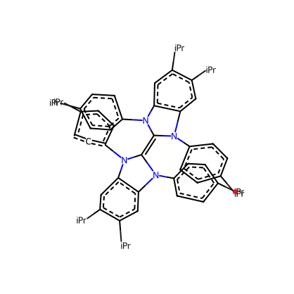 CC(C)c1ccc(N2C(=C3N(c4ccc(C(C)C)cc4)c4cc(C(C)C)c(C(C)C)cc4N3c3ccc(C(C)C)cc3)N(c3ccc(C(C)C)cc3)c3cc(C(C)C)c(C(C)C)cc32)cc1